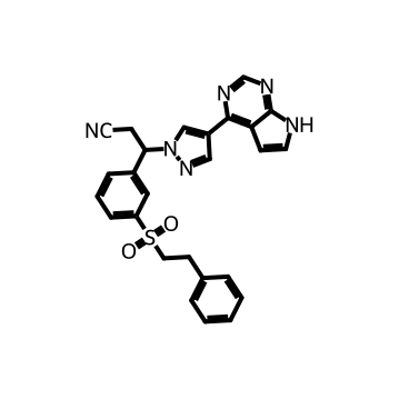 N#CCC(c1cccc(S(=O)(=O)CCc2ccccc2)c1)n1cc(-c2ncnc3[nH]ccc23)cn1